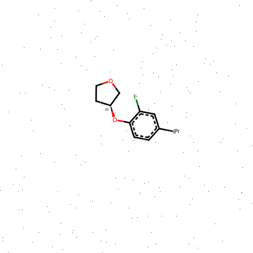 CC(C)c1ccc(O[C@H]2CCOC2)c(F)c1